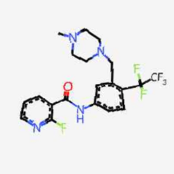 CN1CCN(Cc2cc(NC(=O)c3cccnc3F)ccc2C(F)(F)C(F)(F)F)CC1